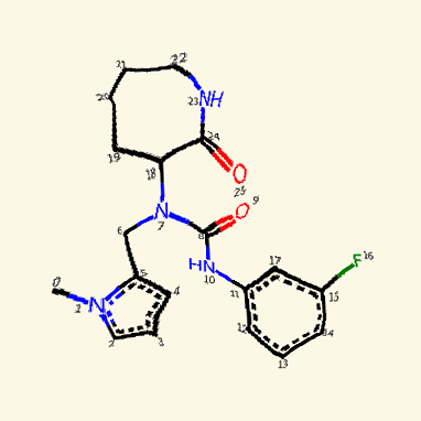 Cn1cccc1CN(C(=O)Nc1cccc(F)c1)C1CCCCNC1=O